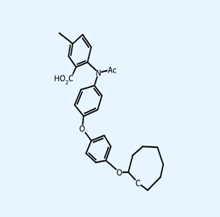 CC(=O)N(c1ccc(Oc2ccc(OC3CCCCCCC3)cc2)cc1)c1ccc(C)cc1C(=O)O